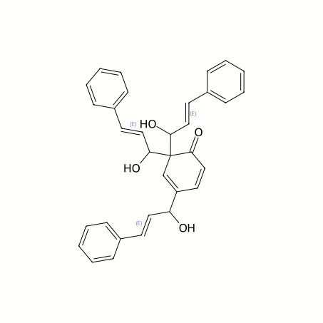 O=C1C=CC(C(O)/C=C/c2ccccc2)=CC1(C(O)/C=C/c1ccccc1)C(O)/C=C/c1ccccc1